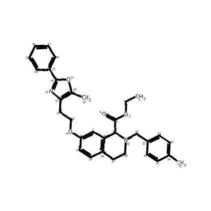 CCOC(=O)C1c2cc(OCCc3nc(-c4ccccc4)oc3C)ccc2CCN1Cc1ccc(C)cc1